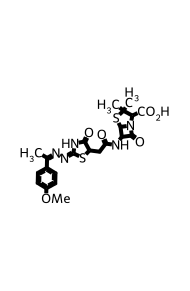 COc1ccc(C(C)=NN=C2NC(=O)C(CC(=O)NC3C(=O)N4C3SC(C)(C)C4C(=O)O)S2)cc1